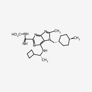 Cc1nc2nc(C(=N)NC(=O)O)nc(N[C@H](C)C3CCC3)c2n1C[C@H]1CC[C@H](C)CC1